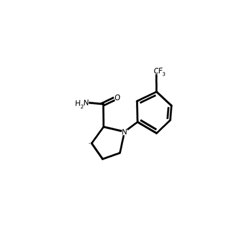 NC(=O)C1[CH]CCN1c1cccc(C(F)(F)F)c1